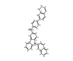 C1=Cc2ccc(-c3ccc(Nc4ccc5c(c4)c4ccccc4n5-c4ccc5ccccc5c4)cc3)cc2CC1